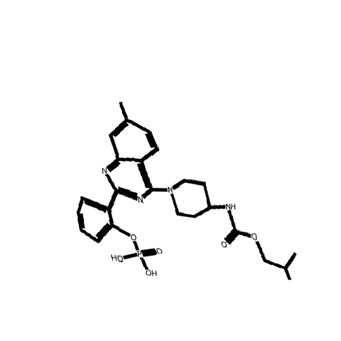 Cc1ccc2c(N3CCC(NC(=O)OCC(C)C)CC3)nc(-c3ccccc3OP(=O)(O)O)nc2c1